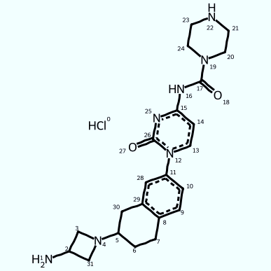 Cl.NC1CN(C2CCc3ccc(-n4ccc(NC(=O)N5CCNCC5)nc4=O)cc3C2)C1